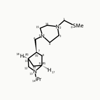 CSCN1CCN(C[C@H]2C[C@@H]3C[C@H]2CN3C(C)C)CC1